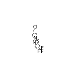 FC(F)(F)c1ccc2nc(N3CCC(CCCl)CC3)sc2c1